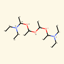 CCN(CC)C(C)OC(C)OC(C)OC(C)N(CC)CC